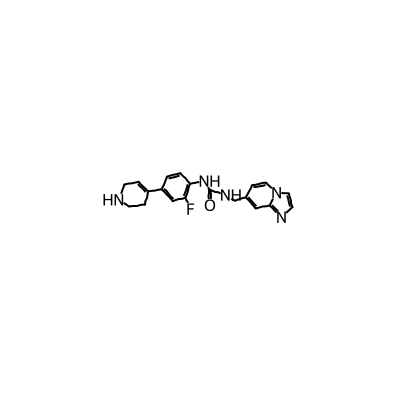 O=C(NCc1ccn2ccnc2c1)Nc1ccc(C2=CCNCC2)cc1F